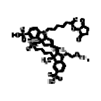 COCCN1/C(=C/C=C/C2=[N+](CCCCCC(=O)ON3C(=O)CCC3=O)c3ccc(S(=O)(=O)O)cc3C2(C)CCOC)C(C)(CCCCS(=O)(=O)O)c2cc(S(=O)(=O)O)ccc21